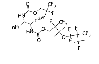 CCCC(NC(=O)OCC(F)(C(C)C)C(F)(F)F)C(CCC)NC(=O)OCC(F)(C(F)(F)F)C(C)(C)OC(F)(F)C(F)(C(C)(C)F)C(F)(F)F